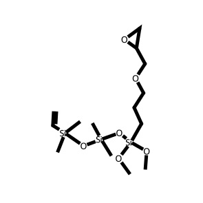 C=C[Si](C)(C)O[Si](C)(C)O[Si](CCCOCC1CO1)(OC)OC